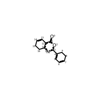 O=c1oc(C2=CC=CCC2)nc2c1C=CCC2